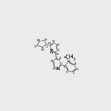 Cc1ccccc1-c1cc(-c2cccc(C3CCCC3)n2)ccn1